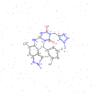 Cn1cnc(Cn2c(=O)nc(Nc3cc4cn(C)nc4cc3Cl)n(Cc3cc(F)cc(F)c3)c2=O)n1